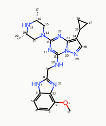 COc1cccc2[nH]c(CNc3nc(N4C[C@@H](C)N[C@@H](C)C4)nc4c(C5CC5)cnn34)nc12